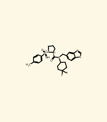 Cc1ccc([S@](=N)(=O)N2CCC[C@H]2C(=O)N(Cc2ccc3scnc3c2)C2CCC(F)(F)CC2)cc1